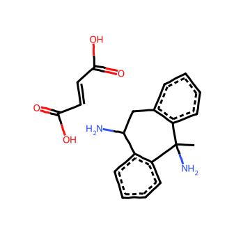 CC1(N)c2ccccc2CC(N)c2ccccc21.O=C(O)C=CC(=O)O